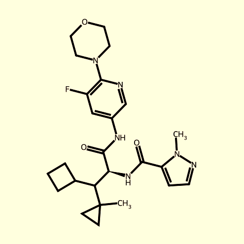 Cn1nccc1C(=O)N[C@H](C(=O)Nc1cnc(N2CCOCC2)c(F)c1)C(C1CCC1)C1(C)CC1